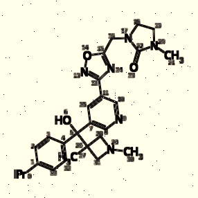 CC(C)c1ccc(C(O)(c2cncc(-c3noc(CN4CCN(C)C4=O)n3)c2)C2(C)CN(C)C2)cc1